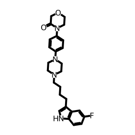 O=C1COCCN1c1ccc(N2CCN(CCCCc3c[nH]c4ccc(F)cc34)CC2)cc1